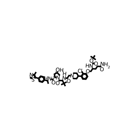 Cc1ncsc1-c1ccc(C(C)NC(=O)[C@@H]2C[C@@H](O)CN2C(=O)C(NC(=O)CN2CCC(c3cccc(OCC(CCC(N)=O)NC(=O)OC(C)(C)C)c3Cl)CC2)C(C)(C)C)cc1